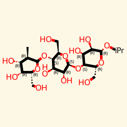 CC(C)O[C@@H]1O[C@H](CO)[C@@H](O[C@@H]2O[C@H](CO)[C@@H](OC3O[C@H](CO)[C@H](O)[C@H](O)[C@H]3C)[C@H](O)[C@H]2O)[C@H](O)[C@H]1O